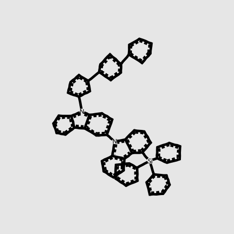 c1ccc(-c2ccc(-c3cccc(-n4c5ccccc5c5cc(-n6c7ccccc7c7c([Si](c8ccccc8)(c8ccccc8)c8ccccc8)cccc76)ccc54)c3)cc2)cc1